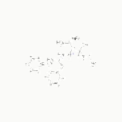 CCCC(N)/C(=N\NC(=O)NC(c1ccccc1)c1ccccc1)C(=O)NCC(C)=O